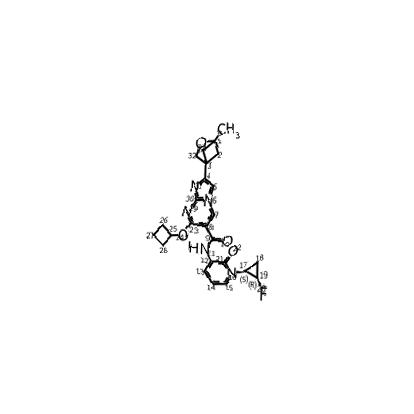 CC12CC(c3cn4cc(C(=O)Nc5cccn([C@H]6C[C@H]6F)c5=O)c(OC5CCC5)nc4n3)(CO1)C2